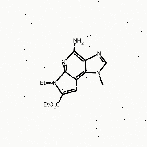 CCOC(=O)c1cc2c3c(ncn3C)c(N)nc2n1CC